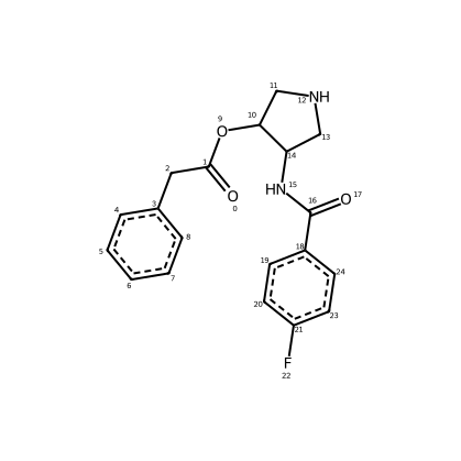 O=C(Cc1ccccc1)OC1CNCC1NC(=O)c1ccc(F)cc1